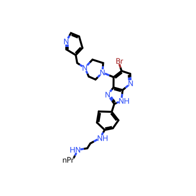 CCCNCCNc1ccc(-c2nc3c(N4CCN(Cc5cccnc5)CC4)c(Br)cnc3[nH]2)cc1